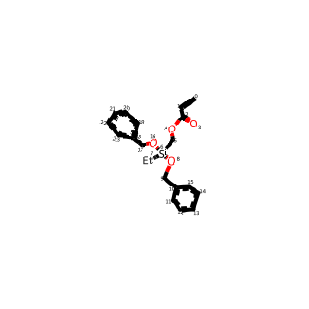 C=CC(=O)OC[Si](CC)(OCc1ccccc1)OCc1ccccc1